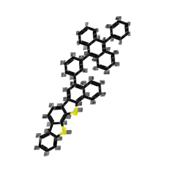 c1ccc(-c2c3ccccc3c(-c3cccc(-c4cc5c6ccc7c8ccccc8sc7c6sc5c5ccccc45)c3)c3ccccc23)cc1